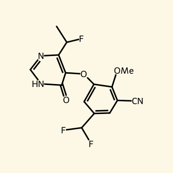 COc1c(C#N)cc(C(F)F)cc1Oc1c(C(C)F)nc[nH]c1=O